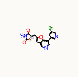 O=C1NC(=O)/C(=C/c2cc3cncc(-c4cncc(Br)c4)c3o2)S1